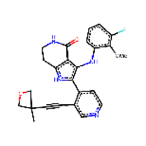 COc1c(F)cccc1Nc1c(-c2ccncc2C#CC2(C)COC2)[nH]c2c1C(=O)NCC2